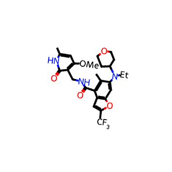 CCN(c1cc2oc(C(F)(F)F)cc2c(C(=O)NCc2c(OC)cc(C)[nH]c2=O)c1C)C1CCOCC1